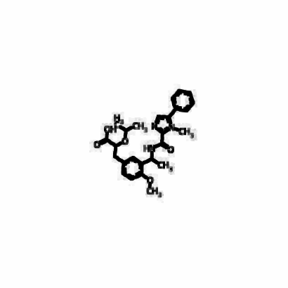 COc1ccc(CC(OC(C)C)C(=O)O)cc1C(C)NC(=O)c1ncc(-c2ccccc2)n1C